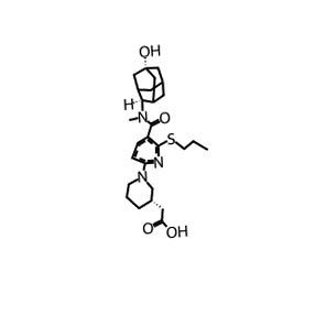 CCCSc1nc(N2CCC[C@@H](CC(=O)O)C2)ccc1C(=O)N(C)[C@H]1C2CC3CC1C[C@](O)(C3)C2